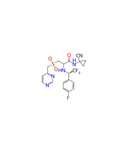 N#CC1(NC(=O)C(CS(=O)(=O)Cc2ccncn2)N[C@H](c2ccc(F)cc2)C(F)(F)F)CC1